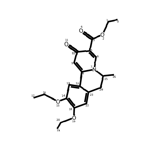 CCOC(=O)c1cn2c(cc1=O)-c1cc(OCC)c(OCC)cc1CC2C